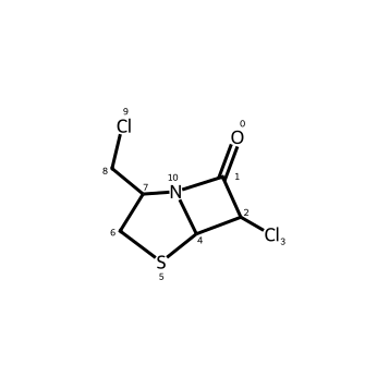 O=C1C(Cl)C2SCC(CCl)N12